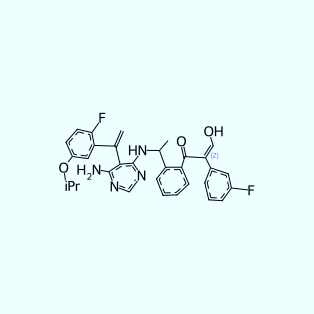 C=C(c1cc(OC(C)C)ccc1F)c1c(N)ncnc1NC(C)c1ccccc1C(=O)/C(=C\O)c1cccc(F)c1